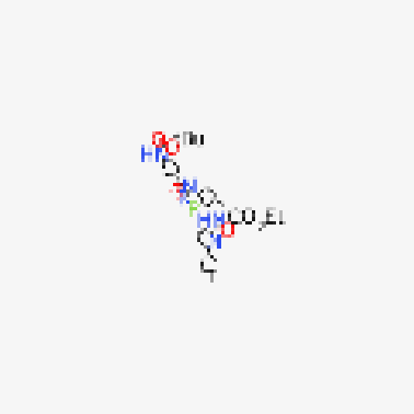 CCOC(=O)C(Cc1ccc(-c2noc(-c3ccc(NC(=O)OC(C)(C)C)cc3)n2)c(F)c1)NC(=O)c1cccc(-c2ccc(C)cc2)n1